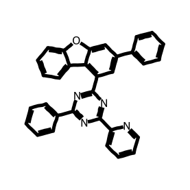 c1ccc(-c2cc(-c3nc(-c4ccccc4)nc(-c4ccccn4)n3)c3c(c2)oc2ccccc23)cc1